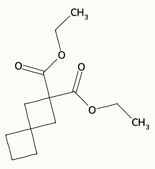 CCOC(=O)C1(C(=O)OCC)CC2(CCC2)C1